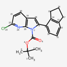 CC(C)(C)OC(=O)n1c(-c2cccc3c2CCC3)cc2ccc(Cl)nc21